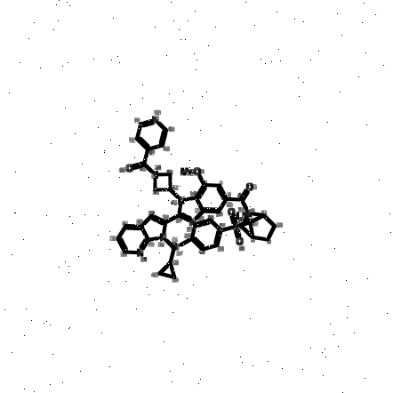 COc1cc(C(=O)N2CC3CCC2[C@]3(N)S(=O)(=O)c2ccc(Br)cc2)cc2nc(-c3cc4cccnc4n3CC3CC3)n(C3CN(C(=O)c4ccncc4)C3)c12